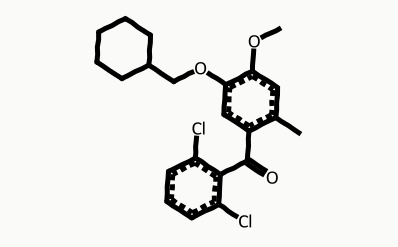 COc1cc(C)c(C(=O)c2c(Cl)cccc2Cl)cc1OCC1CCCCC1